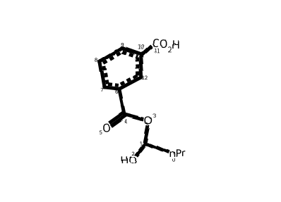 CCCC(O)OC(=O)c1cccc(C(=O)O)c1